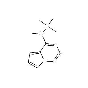 C[Si](C)(C)N(Cl)c1ncnn2cccc12